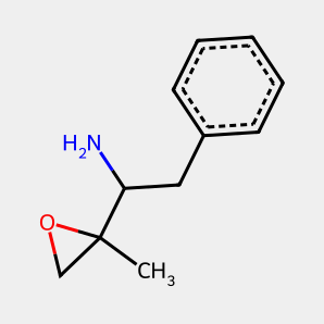 CC1(C(N)Cc2ccccc2)CO1